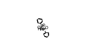 O=[PH](NS(=O)(=O)c1ccccc1)c1ccccc1